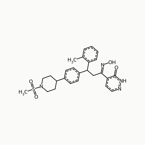 Cc1ccccc1C(C/C(=N/O)c1ccn[nH]c1=O)c1ccc(C2CCN(S(C)(=O)=O)CC2)cc1